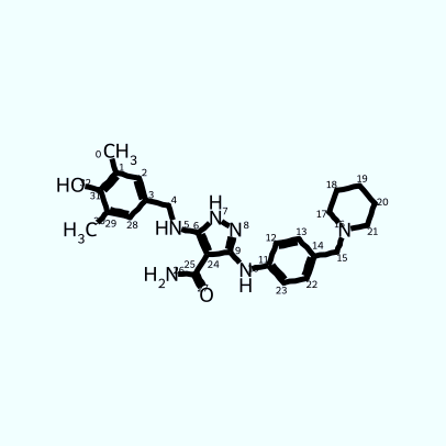 Cc1cc(CNc2[nH]nc(Nc3ccc(CN4CCCCC4)cc3)c2C(N)=O)cc(C)c1O